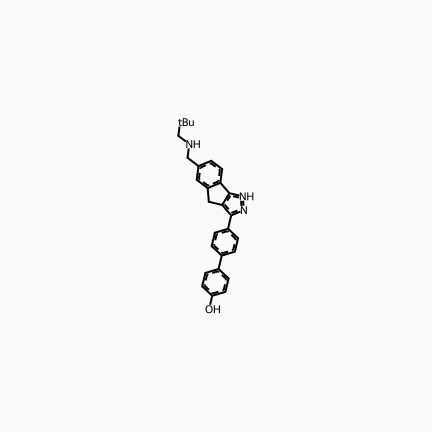 CC(C)(C)CNCc1ccc2c(c1)Cc1c(-c3ccc(-c4ccc(O)cc4)cc3)n[nH]c1-2